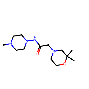 CN1CCN(NC(=O)CN2CCOC(C)(C)C2)CC1